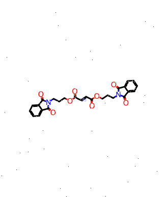 O=C(/C=C/C(=O)OCCCN1C(=O)c2ccccc2C1=O)OCCCN1C(=O)c2ccccc2C1=O